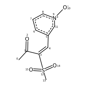 CC(=O)/C(=C\c1ccc[n+]([O-])c1)S(C)(=O)=O